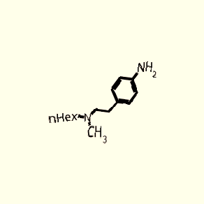 CCCCCCN(C)CCc1ccc(N)cc1